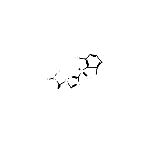 CCc1cccc(C)c1S(=O)(=O)c1ncn(C(=O)N(CC)CC)n1